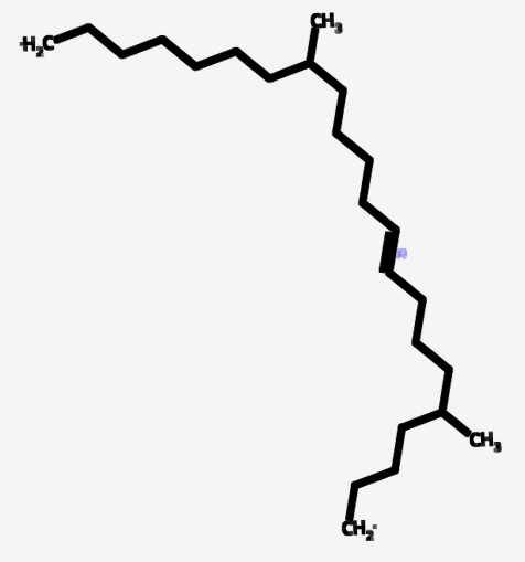 [CH2]CCCCCCC(C)CCCC/C=C/CCCC(C)CCC[CH2]